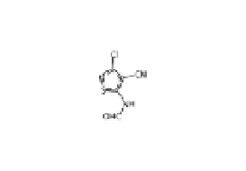 N#Cc1c(Cl)csc1NC=O